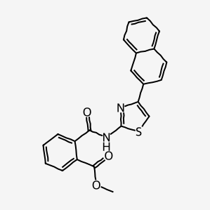 COC(=O)c1ccccc1C(=O)Nc1nc(-c2ccc3ccccc3c2)cs1